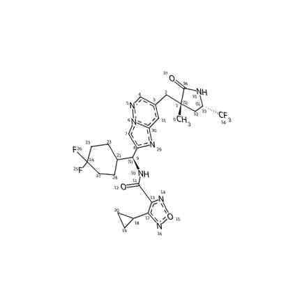 C[C@]1(Cc2cnn3cc([C@@H](NC(=O)c4nonc4C4CC4)C4CCC(F)(F)CC4)nc3c2)C[C@@H](C(F)(F)F)NC1=O